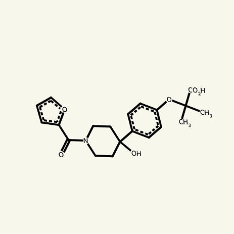 CC(C)(Oc1ccc(C2(O)CCN(C(=O)c3ccco3)CC2)cc1)C(=O)O